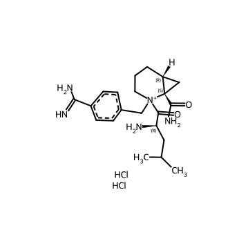 CC(C)C[C@@H](N)C(=O)[N+]1(Cc2ccc(C(=N)N)cc2)CCC[C@@H]2C[C@@]21C(N)=O.Cl.Cl